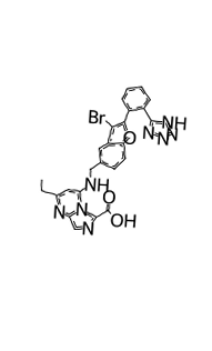 CCc1cc(NCc2ccc3oc(-c4ccccc4-c4nnn[nH]4)c(Br)c3c2)n2c(C(=O)O)ncc2n1